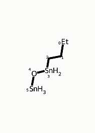 CCC[CH2][SnH2][O][SnH3]